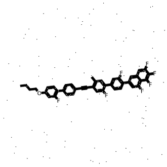 CCCCOc1ccc(-c2ccc(C#Cc3cc(F)c(-c4ccc(-c5cc(F)c6c(F)c(F)c(F)cc6c5)c(F)c4)cc3C)cc2)c(F)c1